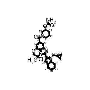 CC1(C)COc2cc(C(=O)N3CCC[C@@H](OC(N)=O)C3)cc3nc(-c4cc5ccccc5n4CC4CC4)n1c23